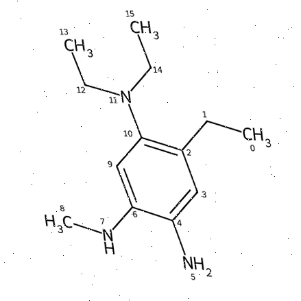 CCc1cc(N)c(NC)cc1N(CC)CC